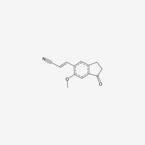 COc1cc2c(cc1/C=C/C#N)CCC2=O